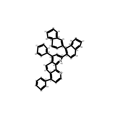 c1ccc(-c2ccnc3c2ccc2c(-c4ccccc4)cc(-c4ccc5ccccc5c4-c4ccc5ccccc5c4)nc23)cc1